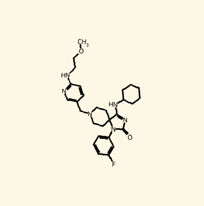 COCCNc1ccc(CN2CCC3(CC2)C(NC2CCCCC2)=NC(=O)N3c2cccc(F)c2)cn1